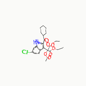 CCOC(=O)C(OC(C)=O)(C(=O)OCC)c1c(C(=O)C2CCCCC2)[nH]c2cc(Cl)ccc12